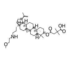 C=C(C)[C@@H]1CC[C@]2(CCCNCCOC)CC[C@]3(C)[C@H](CC[C@@H]4[C@@]5(C)CC[C@H](OC(=O)CC(C)(C)C(=O)O)C(C)(C)[C@@H]5CC[C@]43C)[C@@H]12